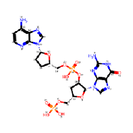 Nc1nc2c(ncn2[C@@H]2O[C@H](COP(=O)(O)O)C[C@H]2OP(=O)(O)OC[C@@H]2CC[C@H](n3cnc4c(N)ccnc43)O2)c(=O)[nH]1